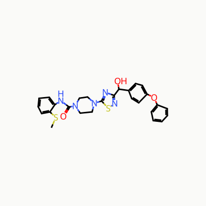 CSc1ccccc1NC(=O)N1CCN(c2nc(C(O)c3ccc(Oc4ccccc4)cc3)ns2)CC1